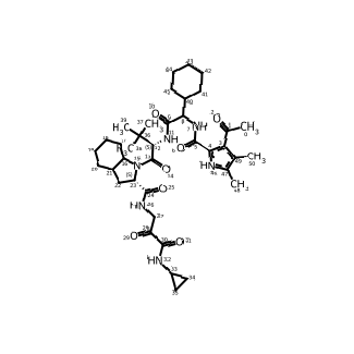 CC(=O)c1c(C(=O)NC(C(=O)N[C@H](C(=O)N2C3CCCCC3C[C@H]2C(=O)NCC(=O)C(=O)NC2CC2)C(C)(C)C)C2CCCCC2)[nH]c(C)c1C